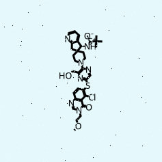 COCCn1cnc2ccc(Sc3cnc(N4CCC5(CC4)Cc4ncccc4[C@H]5N[S@@+]([O-])C(C)(C)C)c(CO)n3)c(Cl)c2c1=O